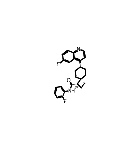 O=C(Nc1ccccc1F)[C@H]1CC[C@]12CC[C@H](c1ccnc3ccc(F)cc31)CC2